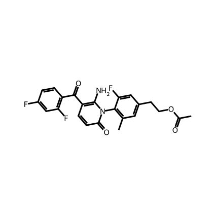 CC(=O)OCCc1cc(C)c(-n2c(N)c(C(=O)c3ccc(F)cc3F)ccc2=O)c(F)c1